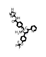 C=C(/C=C(/c1ccc(OC(F)(F)F)cc1)N(N)Cc1ccc(C(=O)Nc2nn[nH]n2)cc1)c1ccccn1